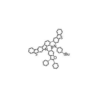 CC(C)(C)c1ccc(N2B3c4cc5oc(-c6ccccc6)c(-c6ccccc6)c5cc4-n4c5cc6sc7ccccc7c6cc5c5ccc(c3c54)-c3cc4c(cc32)sc2ccccc24)cc1